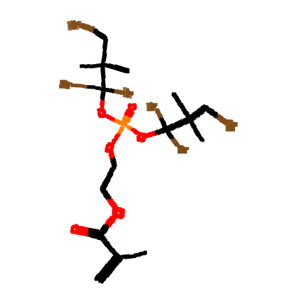 C=C(C)C(=O)OCCOP(=O)(OC(Br)(Br)C(C)(C)CBr)OC(Br)(Br)C(C)(C)CBr